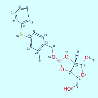 CO[C@@H]1O[C@H](CO)C2OB(OCc3ccc(Sc4ccccc4)cc3C)O[C@@H]21